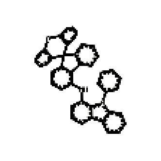 c1ccc(-n2c3ccccc3c3cccc(Nc4cccc5c4-c4ccccc4C54c5ccccc5Oc5ccccc54)c32)cc1